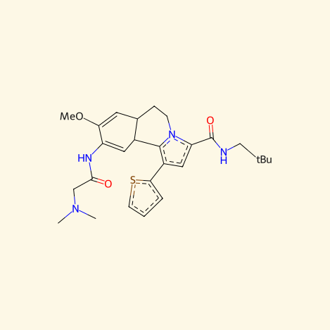 COC1=CC2CCn3c(C(=O)NCC(C)(C)C)cc(-c4cccs4)c3C2C=C1NC(=O)CN(C)C